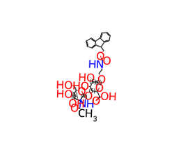 CC(=O)NC1[C@@H](O[C@@H]2C(C(=O)O)O[C@@H](OCCNC(=O)OCC3c4ccccc4-c4ccccc43)[C@@H](O)C2O)OC(CO)[C@@H](O)[C@@H]1O